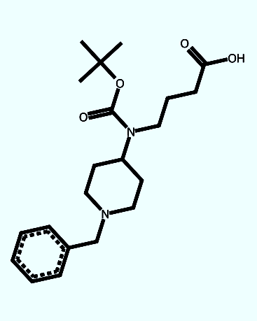 CC(C)(C)OC(=O)N(CCCC(=O)O)C1CCN(Cc2ccccc2)CC1